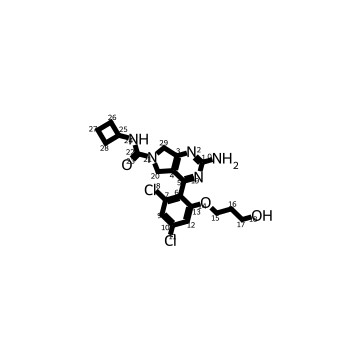 Nc1nc2c(c(-c3c(Cl)cc(Cl)cc3OCCCO)n1)CN(C(=O)NC1CCC1)C2